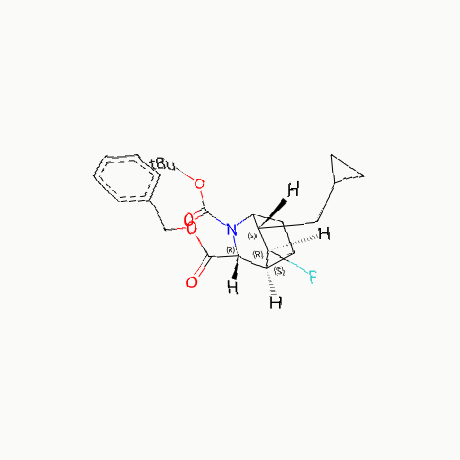 CC(C)(C)OC(=O)N1C2CC[C@H]([C@H](F)[C@H]2CC2CC2)[C@@H]1C(=O)OCc1ccccc1